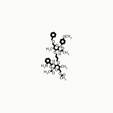 COc1ccc(S[C@@H]2OC(COCc3ccccc3)[C@H](C)[C@H](OC/C=C/CO[C@@H]3C(NC(=O)c4ccccc4N)C(OC(C)=O)OC(COC(C)=O)[C@@H]3C)C2NC(C)=O)cc1